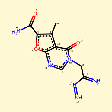 Cc1c(C(N)=O)oc2ncn(CC(=N)N=N)c(=O)c12